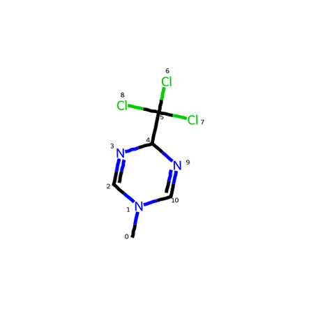 CN1C=NC(C(Cl)(Cl)Cl)N=C1